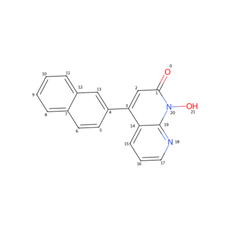 O=c1cc(-c2ccc3ccccc3c2)c2cccnc2n1O